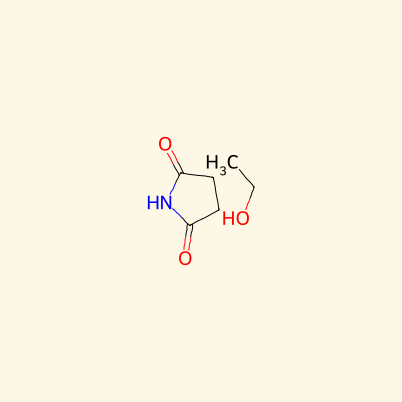 CCO.O=C1CCC(=O)N1